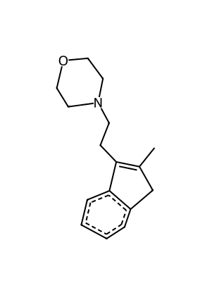 CC1=C(CCN2CCOCC2)c2ccccc2C1